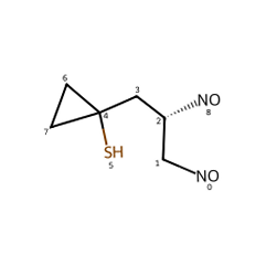 O=NC[C@H](CC1(S)CC1)N=O